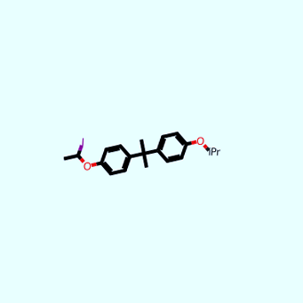 CC(C)Oc1ccc(C(C)(C)c2ccc(OC(C)I)cc2)cc1